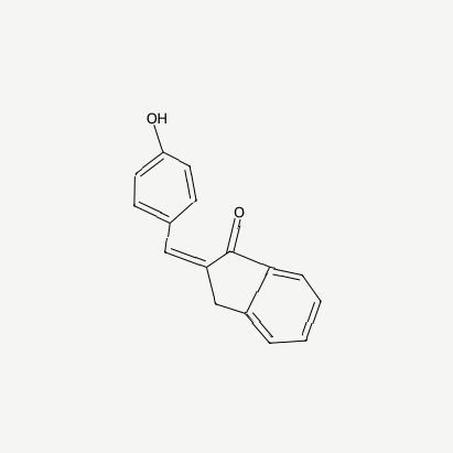 O=C1C(=Cc2ccc(O)cc2)Cc2ccccc21